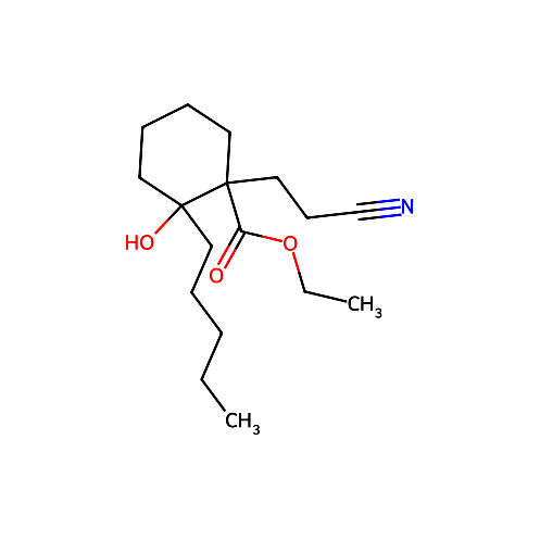 CCCCCC1(O)CCCCC1(CCC#N)C(=O)OCC